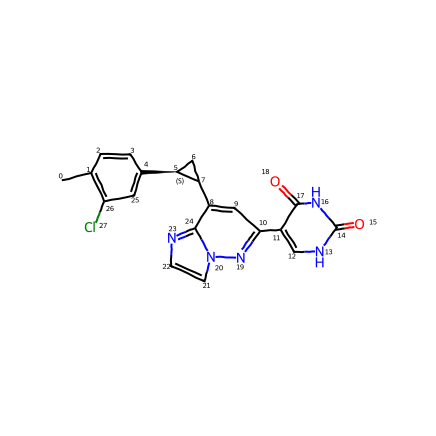 Cc1ccc([C@H]2CC2c2cc(-c3c[nH]c(=O)[nH]c3=O)nn3ccnc23)cc1Cl